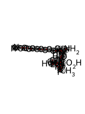 CC[C@@]1(O)C(=O)OCc2c1cc1n(c2=O)Cc2c-1nc1cc(F)c(C)c3c1c2[C@@H](N(Cc1ccc(NC(=O)[C@H](CCCCN)NC(=O)[C@@H](NC(=O)CCOCCOCCOCCOCCOCCOCCOCCOCCOCCN=[N+]=[N-])C(C)C)cc1)C(=O)O)CC3